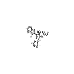 COC(=O)CN1/C(=C/c2ccncc2)S/C(=C2/Sc3cccc(F)c3N2C)C1O